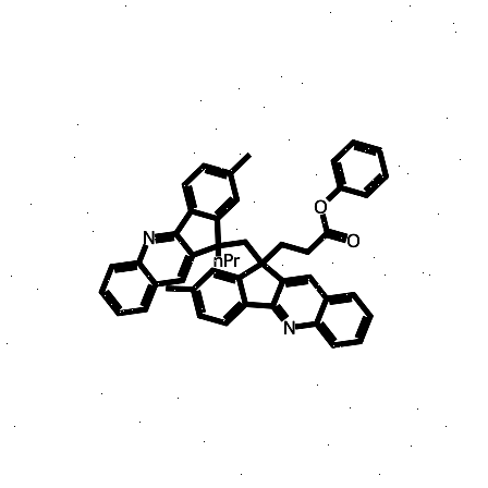 CCCC1(CC2(CCC(=O)Oc3ccccc3)c3cc(C)ccc3-c3nc4ccccc4cc32)c2cc(C)ccc2-c2nc3ccccc3cc21